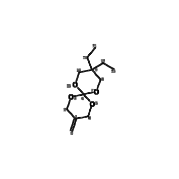 C=C1COC2(OC1)OCC(CC)(CC)CO2